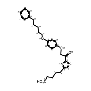 O=C(O)CCCCc1csc(C(=O)COc2ccc(OCCCCCc3ccccc3)cc2)n1